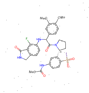 COC(=O)Nc1ccc(S(=O)(=O)I)c([C@H]2CCCN2C(=O)C(Nc2ccc3c(c2F)C(=O)NC3)c2ccc(OC)c(OC)c2)c1